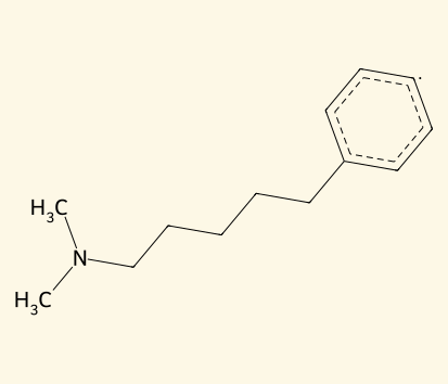 CN(C)CCCCCc1cc[c]cc1